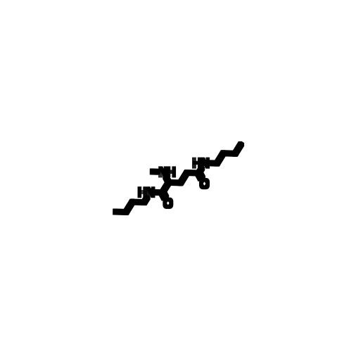 CCCCNC(=O)CCC(NC)C(=O)NCCCC